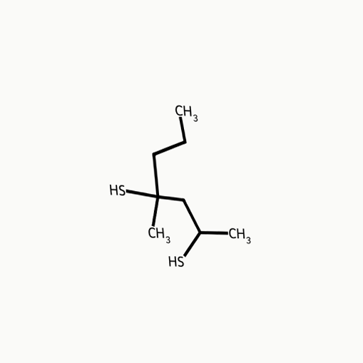 CCCC(C)(S)CC(C)S